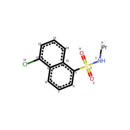 CC(C)NS(=O)(=O)c1cccc2c(Cl)cccc12